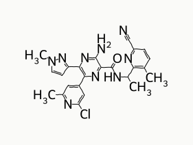 Cc1cc(-c2nc(C(=O)NC(C)c3nc(C#N)ccc3C)c(N)nc2-c2ccn(C)n2)cc(Cl)n1